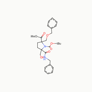 COC(=O)C1(COCc2ccccc2)CCC(CO)(C(=O)NCc2ccccc2)N1C(=O)OC(C)(C)C